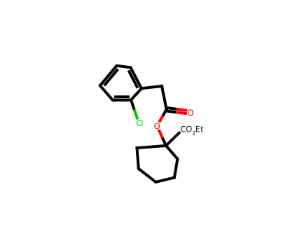 CCOC(=O)C1(OC(=O)Cc2ccccc2Cl)CCCCC1